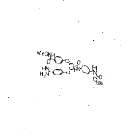 CONC(=O)c1ccc(Oc2cc(Oc3ccc(C(=N)N)cc3)cc(C(=O)NC3CCC(NC(=O)OC(C)(C)C)CC3)c2)cc1